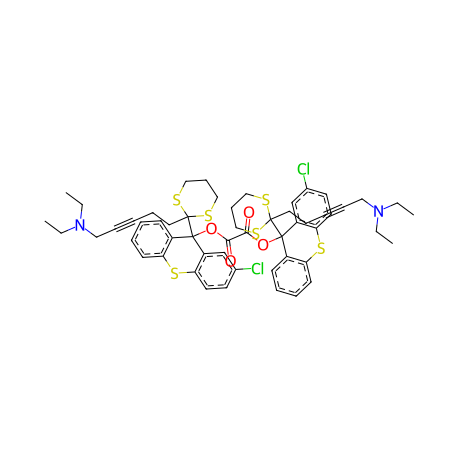 CCN(CC)CC#CCCC1(C2(OC(=O)C(=O)OC3(C4(CCC#CCN(CC)CC)SCCCS4)c4ccccc4Sc4ccc(Cl)cc43)c3ccccc3Sc3ccc(Cl)cc32)SCCCS1